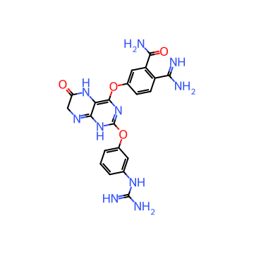 N=C(N)Nc1cccc(OC2=NC(Oc3ccc(C(=N)N)c(C(N)=O)c3)=C3NC(=O)CN=C3N2)c1